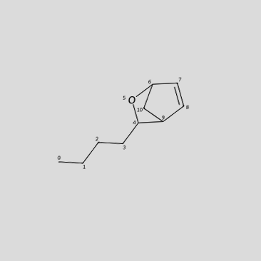 CCCCC1OC2C=CC1C2